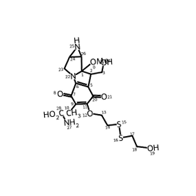 COC12C(CO)C3=C(C(=O)C(C)=C(OCCSSCCO)C3=O)N1CC1NC12.NC(=O)O